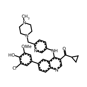 COc1cc(-c2ccc3ncc(C(=O)C4CC4)c(Nc4ccc(CN5CCN(C)CC5)nc4)c3c2)cc(Cl)c1O